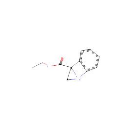 CCOC(=O)C12CN1c1ccccc12